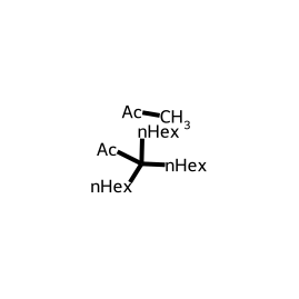 CC(C)=O.CCCCCCC(CCCCCC)(CCCCCC)C(C)=O